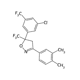 Cc1ccc(C2=NOC(c3cc(Cl)cc(C(F)(F)F)c3)(C(F)(F)F)C2)cc1C